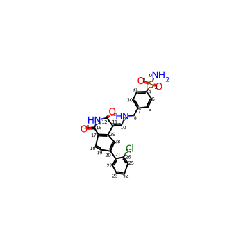 NS(=O)(=O)c1ccc(CN/C=C2\C(=O)NC(=O)c3ccc(-c4ccccc4Cl)cc32)cc1